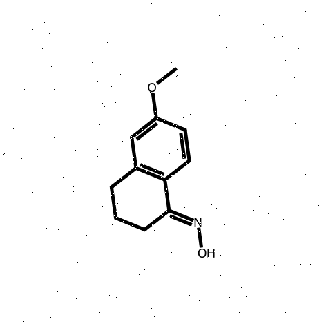 COc1ccc2c(c1)CCC/C2=N\O